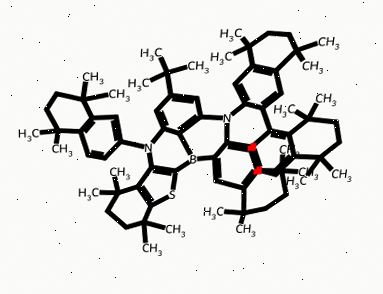 CC(C)(C)c1cc2c3c(c1)N(c1ccc4c(c1)C(C)(C)CCC4(C)C)c1c(sc4c1C(C)(C)CCC4(C)C)B3c1cc3c(cc1N2c1cc2c(cc1-c1cccc4c1C(C)(C)CCC4(C)C)C(C)(C)CCC2(C)C)C(C)(C)CCC3(C)C